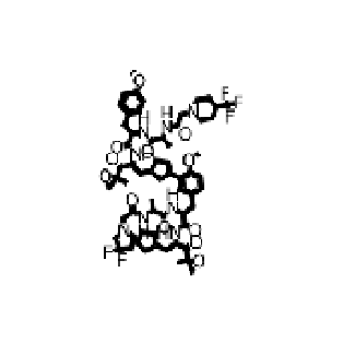 COc1ccc(CC(NC(=O)C(C)NC(=O)CN2CCC(C(F)(F)F)CC2)C(=O)NC(CC2CCC(c3cc(CC(NC(=O)C(C)NC(=O)CN4CCC(F)(F)C4)C(=O)NC(CC4CCCC4)C(=O)C4(C)CO4)ccc3OC)C2)C(=O)C2(C)CO2)cc1